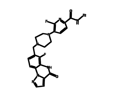 CCNC(=O)c1ccc(N2CCN(Cc3ccc4c([nH]c(=O)c5ccnn54)c3F)CC2)c(F)n1